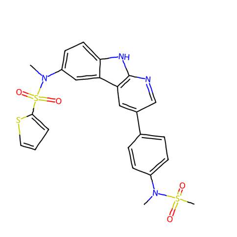 CN(c1ccc(-c2cnc3[nH]c4ccc(N(C)S(=O)(=O)c5cccs5)cc4c3c2)cc1)S(C)(=O)=O